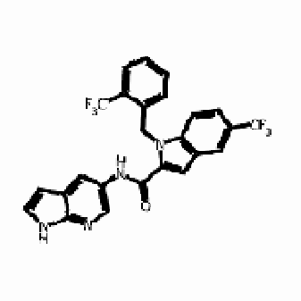 O=C(Nc1cnc2[nH]ccc2c1)c1cc2cc(C(F)(F)F)ccc2n1Cc1ccccc1C(F)(F)F